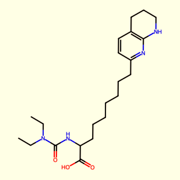 CCN(CC)C(=O)NC(CCCCCCCc1ccc2c(n1)NCCC2)C(=O)O